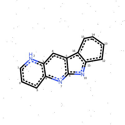 c1c[nH]c2cc3c(nc2c1)nc1ccccc13